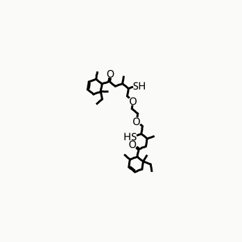 CCC1(C)CC=CC(C)C1C(=O)CC(C)C(S)COCCOCC(S)C(C)CC(=O)C1C(C)C=CCC1(C)CC